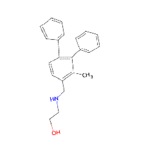 Cc1c(CNCCO)ccc(-c2ccccc2)c1-c1ccccc1